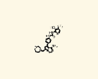 Nc1ncnn2c(CN3CCCOCC3)cc(-c3ccc(NC(=O)Nc4nccc(C(F)(F)F)c4O)cc3)c12